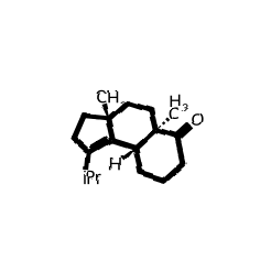 CC(C)C1=C2[C@H]3CCCC(=O)[C@]3(C)CC[C@@]2(C)CC1